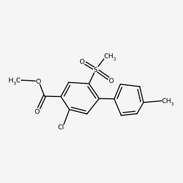 COC(=O)c1cc(S(C)(=O)=O)c(-c2ccc(C)cc2)cc1Cl